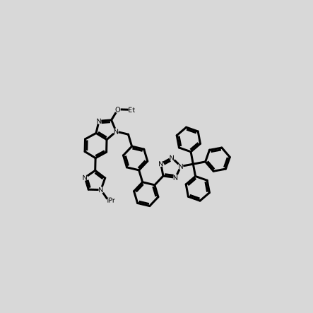 CCOc1nc2ccc(-c3cn(C(C)C)cn3)cc2n1Cc1ccc(-c2ccccc2-c2nnn(C(c3ccccc3)(c3ccccc3)c3ccccc3)n2)cc1